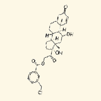 C[C@]12C=CC(=O)C=C1CC[C@@H]1[C@@H]2C(O)C[C@@]2(C)[C@H]1CC[C@]2(O)C(=O)COC(=O)c1cccc(CCl)c1